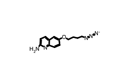 [N-]=[N+]=NCCCCOc1ccc2nc(N)ccc2c1